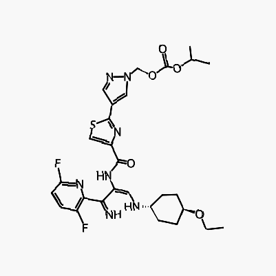 CCO[C@H]1CC[C@H](N/C=C(/NC(=O)c2csc(-c3cnn(COC(=O)OC(C)C)c3)n2)C(=N)c2nc(F)ccc2F)CC1